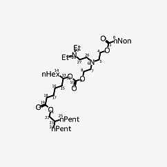 CCCCCCCCCC(=O)OCCN(CCOC(=O)OC(CCCCCC)CCCCC(=O)OCC(CCCCC)CCCCC)CCN(CC)CC